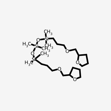 C[Si](C)(CCCOCC1CCCO1)O[Si](C)(C)O[Si](C)(C)CCCOCC1CCCO1